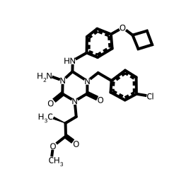 COC(=O)[C@@H](C)CN1C(=O)N(N)C(Nc2ccc(OC3CCC3)cc2)N(Cc2ccc(Cl)cc2)C1=O